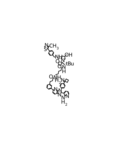 Cc1ncsc1-c1ccc(CNC(=O)[C@@H]2C[C@@H](O)CN2C(=O)[C@@H](NC(=O)CCCCNC(=O)CCc2cccc(-c3ccc4nc(-c5cccnc5N)n(-c5ccc(C6(N)CCC6)cc5)c4n3)c2)C(C)(C)C)cc1